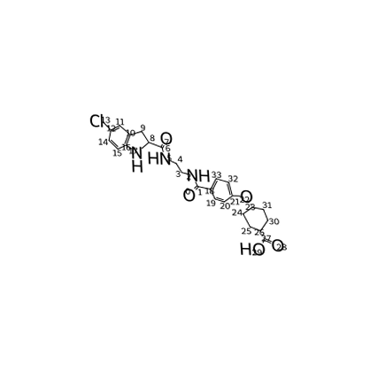 O=C(NCCNC(=O)C1Cc2cc(Cl)ccc2N1)c1ccc(O[C@H]2CC[C@@H](C(=O)O)CC2)cc1